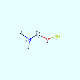 CN(C)[SiH2]OS